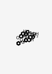 CC(=O)[C@H]1CC[C@H]2[C@@H]3CCC4=CC(=O)CC[C@]4(C)[C@H]3CC[C@]12C.C[C@]12CC[C@@H]3c4ccc(OC(=O)c5ccccc5)cc4CC[C@H]3[C@@H]1CC[C@@H]2O